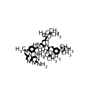 CN(Cc1cnc2nc(N)nc(N)c2n1)c1ccc(C(=O)N[C@@H](CCC(=O)OC(C)(C)C)C(=O)N[C@@H](Cc2cccc([Si](C)(C)C)c2)C(=O)OC(C)(C)C)cc1